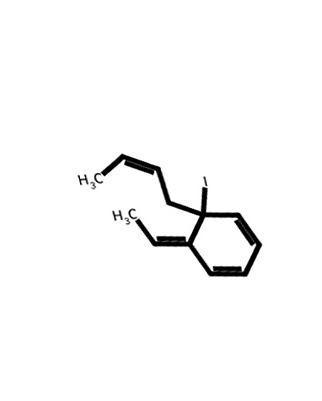 C/C=C\CC1(I)C=CC=C/C1=C/C